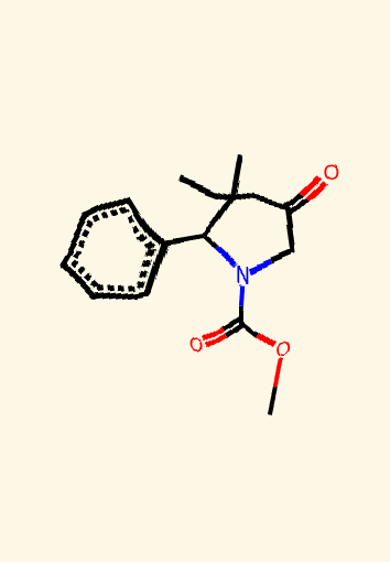 COC(=O)N1CC(=O)C(C)(C)C1c1ccccc1